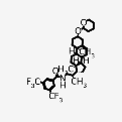 C[C@H](CNC(=O)c1cc(C(F)(F)F)cc(C(F)(F)F)c1)[C@H]1CC[C@H]2[C@@H]3CC=C4C[C@@H](OC5CCCCO5)CC[C@]4(C)[C@H]3CC[C@]12C